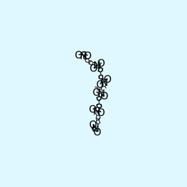 CCC(C)C(CC(C)CN1C(=O)c2ccc(-c3ccc4c(c3)C(=O)N(CC3CC5CC3C3CC(CN6C(=O)C=CC6=O)CC53)C4=O)cc2C1=O)CN1C(=O)c2ccc(-c3ccc4c(c3)C(=O)N(CC3CC5CC3C3CC(CN6C(=O)C=CC6=O)CC53)C4=O)cc2C1=O